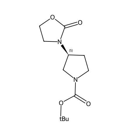 CC(C)(C)OC(=O)N1CC[C@H](N2CCOC2=O)C1